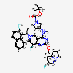 CCc1c(F)ccc2cccc(-c3ncc4c(N(C)[C@@H]5CCN(C(=O)OC(C)(C)C)C5)nc(OC[C@@]56CCCN5C[C@H](F)C6)nc4c3F)c12